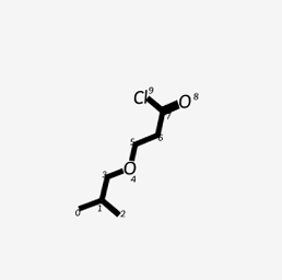 CC(C)COCCC(=O)Cl